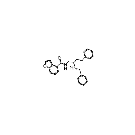 O=C(NC[C@H](CCc1ccccc1)NCc1ccccc1)c1cccc2occc12